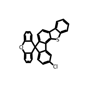 Clc1ccc2c(c1)-c1c(ccc3c1sc1ccccc13)C21c2ccccc2Oc2ccccc21